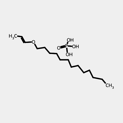 CC=COCCCCCCCCCCCCC.O=P(O)(O)O